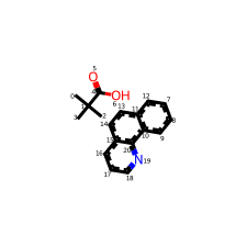 CC(C)(C)C(=O)O.c1ccc2c(c1)ccc1cccnc12